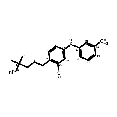 CCCC(C)(C)CCCc1ccc(Sc2cccc(C(F)(F)F)c2)cc1Cl